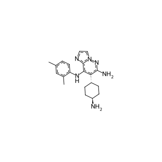 Cc1ccc(Nc2c3nccn3nc(N)c2[C@H]2CC[C@H](N)CC2)c(C)c1